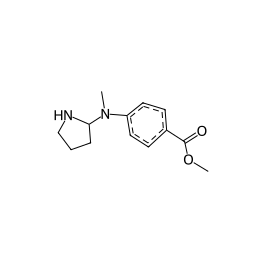 COC(=O)c1ccc(N(C)C2CCCN2)cc1